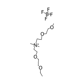 CCOCCOCC[N+](C)(C)CCOCCOC.F[B-](F)(F)F